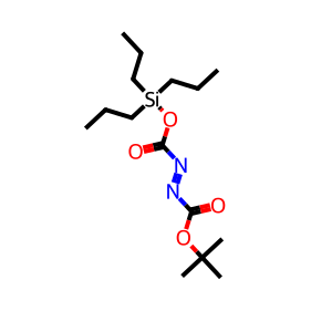 CCC[Si](CCC)(CCC)OC(=O)N=NC(=O)OC(C)(C)C